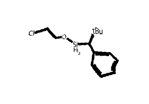 CC(C)(C)C([SiH2]OCCCl)c1ccccc1